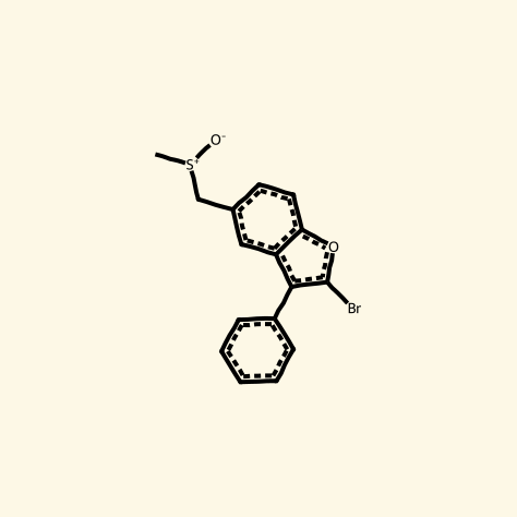 C[S+]([O-])Cc1ccc2oc(Br)c(-c3ccccc3)c2c1